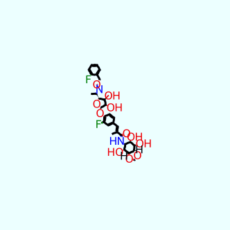 C/C(=C\c1ccc(O[C@@H]2O[C@H](/C(C)=N/OCc3ccccc3F)[C@@H](O)[C@@H]2O)c(F)c1)C(=O)N[C@@H]1[C@H](O)[C@@H](O)[C@H]2OCO[C@H]2[C@@H]1O